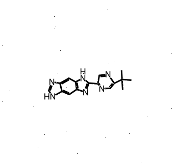 CC(C)(C)c1cnc(-c2nc3cc4[nH]cnc4cc3[nH]2)cn1